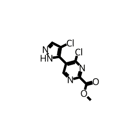 COC(=O)c1ncc(-c2[nH]ncc2Cl)c(Cl)n1